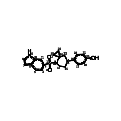 O=S(=O)(c1ccc2cc[nH]c2c1)N1CCN(c2ccc(O)cc2)CC12CC2